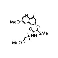 CO/N=C/C(C)(C)NC(=O)C(Oc1cc(C)c2ncc(OC)cc2c1)SC